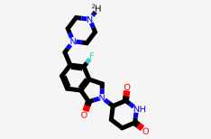 [2H]N1CCN(Cc2ccc3c(c2F)CN(C2CCC(=O)NC2=O)C3=O)CC1